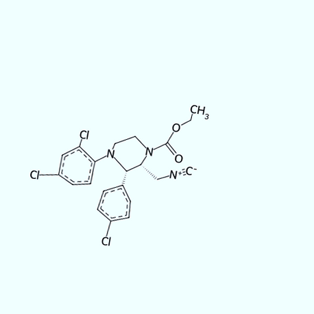 [C-]#[N+]C[C@@H]1[C@H](c2ccc(Cl)cc2)N(c2ccc(Cl)cc2Cl)CCN1C(=O)OCC